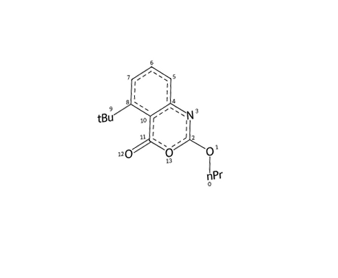 CCCOc1nc2cccc(C(C)(C)C)c2c(=O)o1